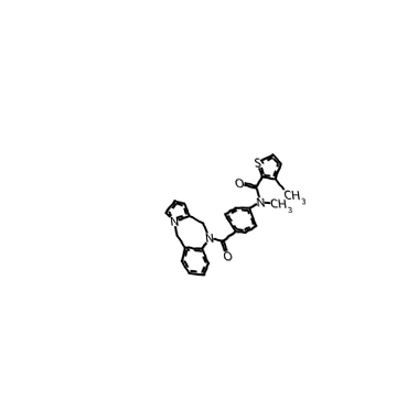 Cc1ccsc1C(=O)N(C)c1ccc(C(=O)N2Cc3cccn3Cc3ccccc32)cc1